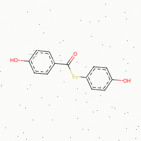 O=C(Sc1ccc(O)cc1)c1ccc(O)cc1